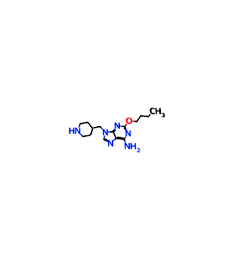 CCCCOc1nc(N)c2ncn(CC3CCNCC3)c2n1